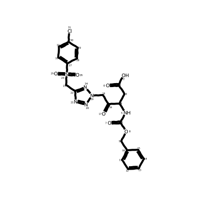 O=C(O)CC(NC(=O)OCc1ccccc1)C(=O)Cn1nnc(CS(=O)(=O)c2ccc(Cl)cc2)n1